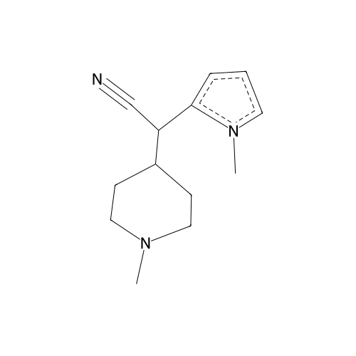 CN1CCC(C(C#N)c2cccn2C)CC1